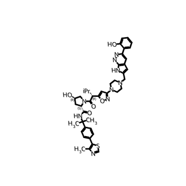 Cc1ncsc1-c1ccc(C(C)(C)NC(=O)[C@@H]2C[C@@H](O)CN2C(=O)[C@@H](c2cc(N3CCN(Cc4cc5cc(-c6ccccc6O)nnc5[nH]4)CC3)no2)C(C)C)cc1